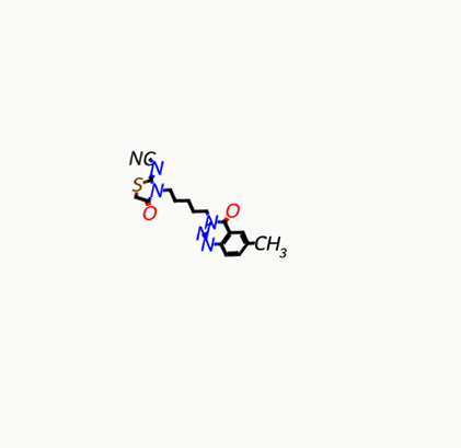 Cc1ccc2nnn(CCCCCN3C(=O)CS/C3=N\C#N)c(=O)c2c1